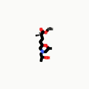 CCCCOC(=O)[C@@H](C)CCCCN(CC(C)O)CC(C)O